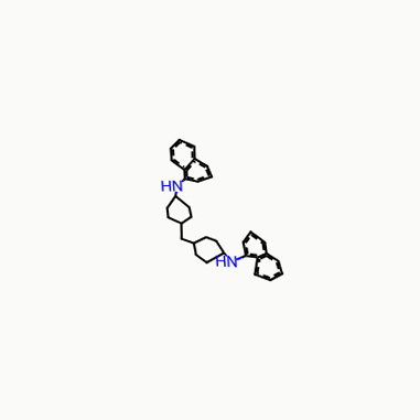 c1ccc2c(NC3CCC(CC4CCC(Nc5cccc6ccccc56)CC4)CC3)cccc2c1